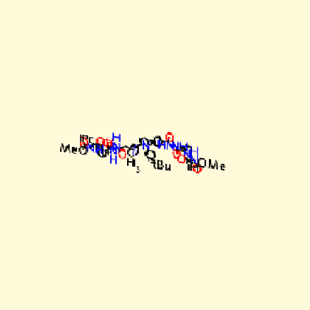 C/C=C\C(=C/CCC(=O)NNC(=O)[C@@H]1CCCN1[C@@H](O)[C@@H](NC(=O)OC)C(C)C)C1CCC([C@H]2C=CC(C(=O)NNC(=O)[C@@H]3CCCN3C(=O)[C@@H](NC(=O)OC)C(C)C)=CC2)N1C1=CC[C@H](C(C)(C)C)C=C1